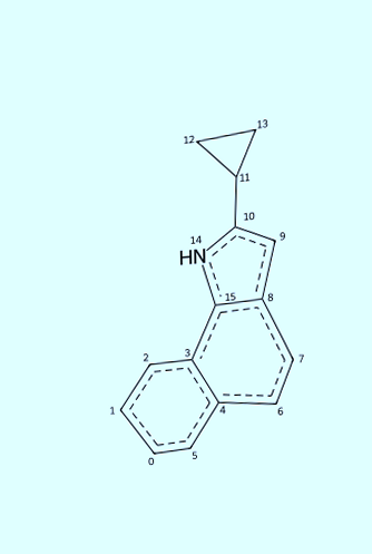 c1ccc2c(c1)ccc1cc(C3CC3)[nH]c12